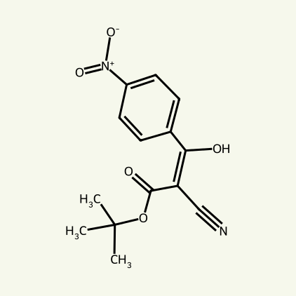 CC(C)(C)OC(=O)C(C#N)=C(O)c1ccc([N+](=O)[O-])cc1